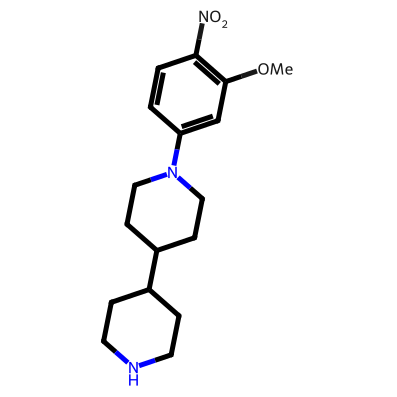 COc1cc(N2CCC(C3CCNCC3)CC2)ccc1[N+](=O)[O-]